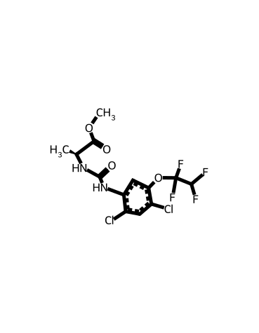 COC(=O)[C@H](C)NC(=O)Nc1cc(OC(F)(F)C(F)F)c(Cl)cc1Cl